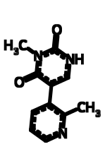 Cc1ncccc1-c1c[nH]c(=O)n(C)c1=O